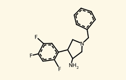 NC1CN(Cc2ccccc2)CC1c1cc(F)c(F)cc1F